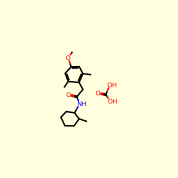 COc1cc(C)c(CC(=O)NC2CCCCC2C)c(C)c1.O=C(O)O